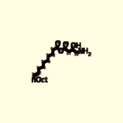 CCCCCCCCC=CCCCCCCCC(=O)OC(=O)CC(O)CN